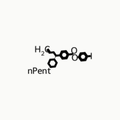 C=CCC(c1ccc(C(=O)Oc2ccc(I)cc2)cc1)[C@H]1CC[C@H](CCCCC)CC1